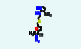 CCC(C)(N)c1ccc(CSCCNc2[nH]ccc2[N+](=O)[O-])o1